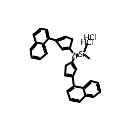 C[Si](C)=[Zr]([C]1=CC(c2cccc3ccccc23)=CC1)[C]1=CC(c2cccc3ccccc23)=CC1.Cl.Cl